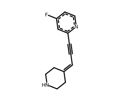 Fc1ccnc(C#CC=C2CCNCC2)c1